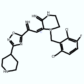 N=C1NCCN(Cc2c(Cl)ccc(F)c2Cl)/C1=C/C(=N)c1nc(C2CCNCC2)no1